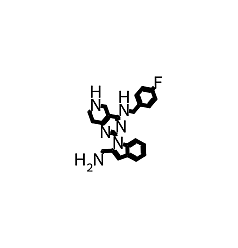 NCc1cc2ccccc2n1-c1nc2c(c(NCc3ccc(F)cc3)n1)CNCC2